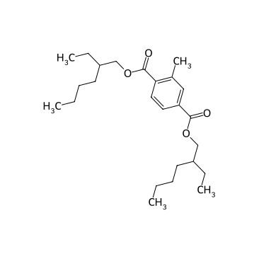 CCCCC(CC)COC(=O)c1ccc(C(=O)OCC(CC)CCCC)c(C)c1